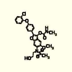 CNC(=O)Oc1c(-c2ccc(Oc3ccccc3Cl)cc2)oc2cc(N(CCO)S(C)(=O)=O)c(OC)cc12